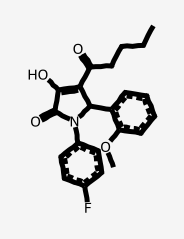 CCCCC(=O)C1=C(O)C(=O)N(c2ccc(F)cc2)C1c1ccccc1OC